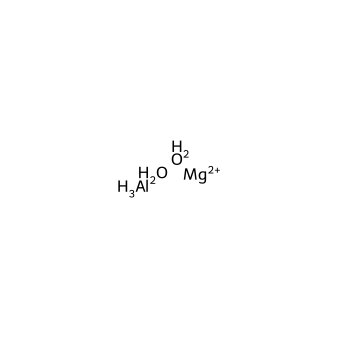 O.O.[AlH3].[Mg+2]